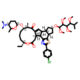 CC[C@H]1CCC[C@H](O[C@H]2CC[C@H](N(C)C)C(C)O2)[C@@H](C)C(=O)C2=C[C@H]3[C@@H]4C[C@H](OC(OC)C(OC)C(OC)C(OC)C(C)C)C[C@H]4c4sc(-c5ccc(Br)cc5)nc4[C@H]3[C@@H]2CC(=O)O1